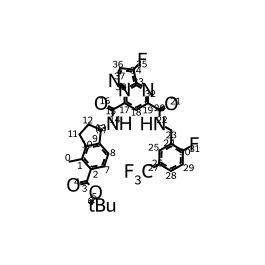 Cc1c(C(=O)OC(C)(C)C)ccc2c1CC[C@@H]2NC(=O)c1cc(C(=O)NCc2cc(C(F)(F)F)ccc2F)nc2c(F)cnn12